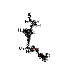 C=C(/C=C\C=C/C)CC[C@H](O)/C=C/[C@@H]1[C@@H](C/C=C\CCCC(=O)N(CC)[C@H]2CN(CCCOCCCCCC[C@@H](CC[C@@H]3[C@@H](C/C=C\CCCC(=O)OCC/C=N/S(=O)(=O)c4cc5c(s4)S(=O)(=O)[C@@H](C)C[C@@H]5NCC)[C@@H](O)C[C@H]3O)OC)S(=O)(=O)c3sc(S(N)(=O)=O)cc32)[C@@H](O)C[C@H]1O